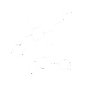 COc1cc(N(C)CCN(C)C)c([N+](=O)[O-])cc1Nc1nccc(N2CC(C)(C)c3nc(-c4cnn(C)c4)ccc32)n1